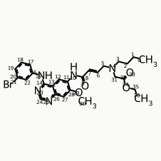 CCCCN(C/C=C/C(=O)Nc1cc2c(Nc3cccc(Br)c3)ncnc2cc1OC)CC(=O)OCC